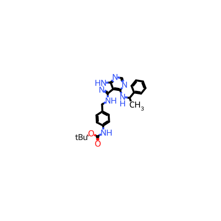 CC(Nc1ncnc2[nH]nc(NCc3ccc(NC(=O)OC(C)(C)C)cc3)c12)c1ccccc1